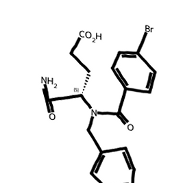 NC(=O)[C@H](CCC(=O)O)N(Cc1ccccc1)C(=O)c1ccc(Br)cc1